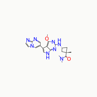 COc1nc(N[C@H]2C[C@@](C)(C(=O)N(C)C)C2)nc2[nH]cc(-c3cnc4nccn4c3)c12